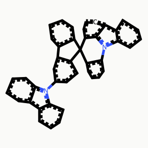 c1ccc2c(c1)-c1cc(-n3c4ccccc4c4ccccc43)ccc1C21c2ccccc2-n2c3ccccc3c3cccc1c32